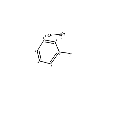 CCC[O].[CH2]c1ccccc1